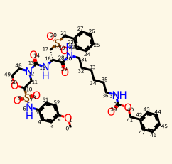 COc1ccc(NS(=O)(=O)C2CN(C(=O)N[C@H](CS(=O)(=O)Cc3ccccc3)C(=O)NCCCCCCNC(=O)OCc3ccccc3)CCO2)cc1